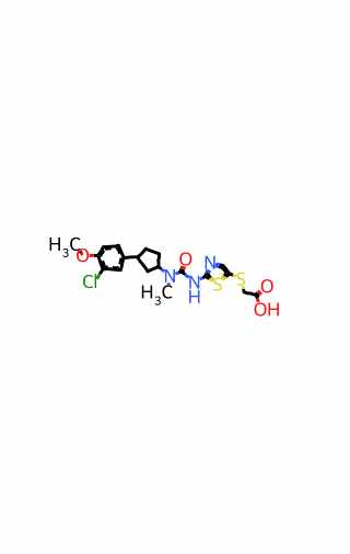 COc1ccc(C2CCC(N(C)C(=O)Nc3ncc(SCC(=O)O)s3)C2)cc1Cl